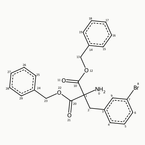 NC(Cc1cccc(Br)c1)(C(=O)OCc1ccccc1)C(=O)OCc1ccccc1